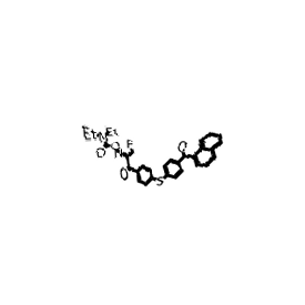 CCN(CC)C(=O)O/N=C(\CF)C(=O)c1ccc(Sc2ccc(C(=O)c3cccc4ccccc34)cc2)cc1